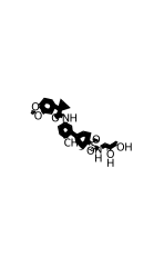 Cc1ccc(NC(=O)C2(c3ccc4c(c3)OCO4)CC2)cc1-c1ccc(S(=O)(=O)NC[C@@H](O)CO)cc1